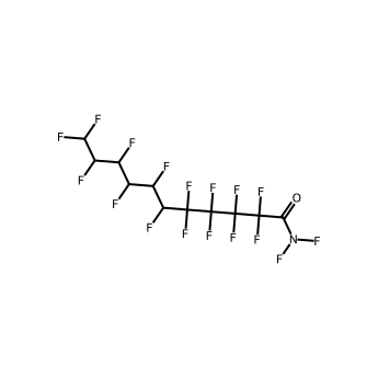 O=C(N(F)F)C(F)(F)C(F)(F)C(F)(F)C(F)(F)C(F)C(F)C(F)C(F)C(F)C(F)F